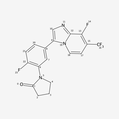 O=C1CCCN1c1cc(-c2cnc3c(F)c(C(F)(F)F)ccn23)ccc1F